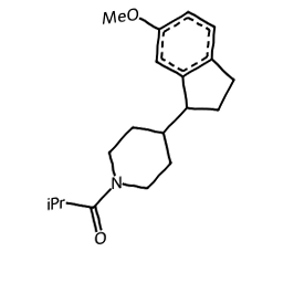 COc1ccc2c(c1)C(C1CCN(C(=O)C(C)C)CC1)CC2